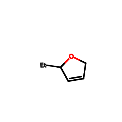 CCC1C=CCO1